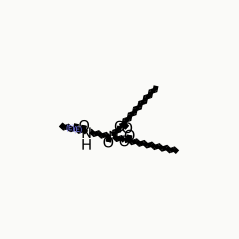 C=C/C=C/C(C)=C/C(=O)NCCCCCC(=O)N(CCOC(=O)CCCCCCCCCCCCC)CCOC(=O)CCCCCCCCCCCCC